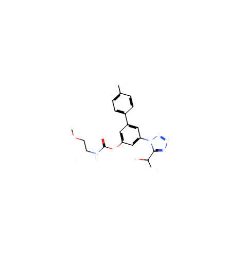 COC[C@@H](C)NC(=O)Oc1cc(-c2ccc(C)cc2)cc(-n2nnnc2C(C)O)c1